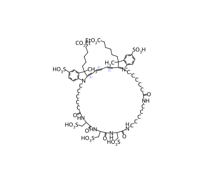 CCOC(=O)CCCCCC1(C)C2=[N+](CCCCCC(=O)NCCCCCNC(=O)C(CS(=O)(=O)O)NC(=O)C(CS(=O)(=O)O)NC(=O)C(CS(=O)(=O)O)NC(=O)CCCCCN3/C(=C/C=C/C=C/2)C(C)(CCCCCC(=O)OCC)c2cc(S(=O)(=O)O)ccc23)c2ccc(S(=O)(=O)O)cc21